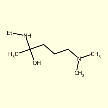 CCNC(C)(O)CCCN(C)C